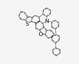 c1ccc(-c2ccc(-c3cccc(N(c4ccccc4-c4ccc5sc6ccccc6c5c4)c4cccc5oc6ccccc6c45)c3)cc2)cc1